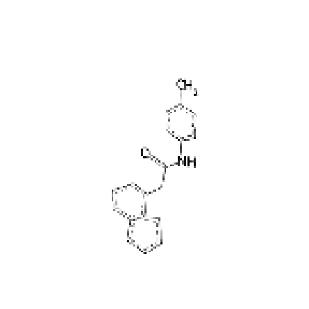 Cc1ccc(NC(=O)Cc2cccc3ccccc23)cc1